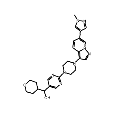 Cn1cc(-c2ccc3c(N4CCN(c5ncc(C(O)C6CCOCC6)cn5)CC4)cnn3c2)cn1